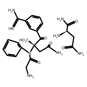 N=C(N)c1cccc(C(=O)[C@@](CC(N)=O)(C(=O)O)N(C(=O)CN)c2ccccc2)c1.NC(=O)C[C@@H](N)C(N)=O